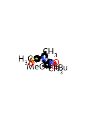 COc1cc(C)c2c(ccn2C(=O)OC(C)(C)C)c1CN1CCC(C)CC1c1ccc([S+](C)[O-])cc1